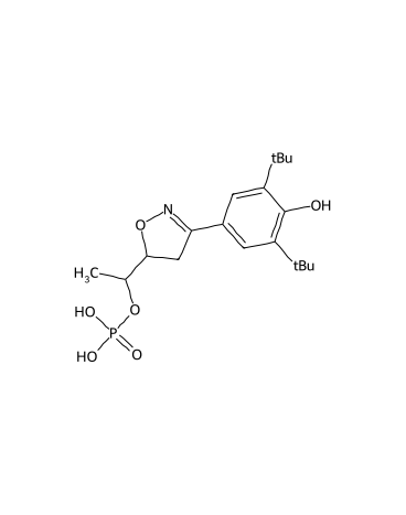 CC(OP(=O)(O)O)C1CC(c2cc(C(C)(C)C)c(O)c(C(C)(C)C)c2)=NO1